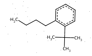 [CH2]CCCc1ccccc1C(C)(C)C